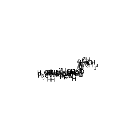 CCC(CCN(C)C)C(=O)N1CCN(C(=O)c2ccc(NC(=O)c3ncc(-c4ccc(-c5cn(CCNC(=O)NC(C)(C)C)nc5C)c(F)c4F)n3C)cc2Cl)CC1